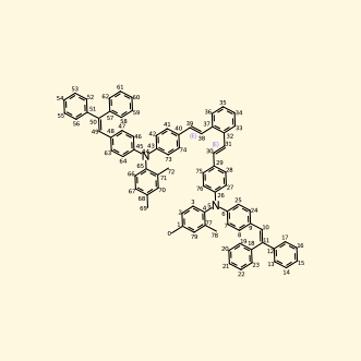 Cc1ccc(N(c2ccc(C=C(c3ccccc3)c3ccccc3)cc2)c2ccc(/C=C/c3ccccc3/C=C/c3ccc(N(c4ccc(C=C(c5ccccc5)c5ccccc5)cc4)c4ccc(C)cc4C)cc3)cc2)c(C)c1